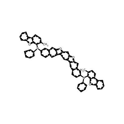 Cc1ccc2c(oc3ccccc32)c1N(c1ccccc1)c1ccc2cc3c(cc2c1)oc1cc2oc4cc5cc(N(c6ccccc6)c6c(C)ccc7c6oc6ccccc67)ccc5cc4c2cc13